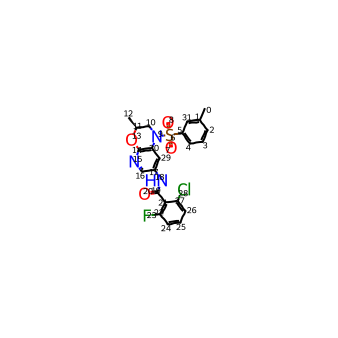 Cc1cccc(S(=O)(=O)N2C[C@H](C)Oc3ncc(NC(=O)c4c(F)cccc4Cl)cc32)c1